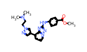 COC(=O)c1ccc(Nc2nc3c(-c4cnn(CCN(C)C)c4)cccn3n2)cc1